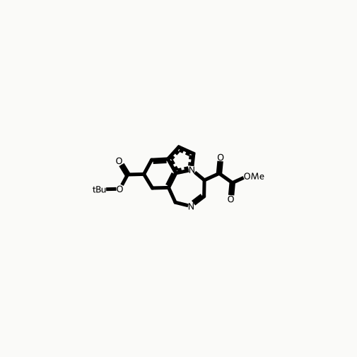 COC(=O)C(=O)C1C=NCC2=c3c(ccn31)=CC(C(=O)OC(C)(C)C)C2